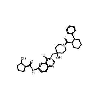 O=C(Nc1ccc2ncn(CC3(O)CCN(C(=O)C4CCCCC4c4ccccc4)CC3)c(=O)c2n1)C1CCCC1O